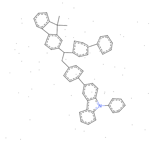 CC1(C)c2ccccc2-c2ccc(C(Cc3ccc(-c4ccc5c(c4)c4ccccc4n5-c4ccccc4)cc3)c3ccc(-c4ccccc4)cc3)cc21